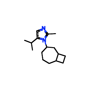 Cc1ncc(C(C)C)n1C1CCCC2CCC2C1